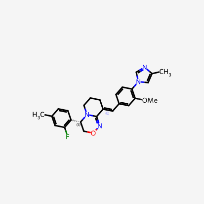 COc1cc(/C=C2\CCCN3C2=NOC[C@@H]3c2ccc(C)cc2F)ccc1-n1cnc(C)c1